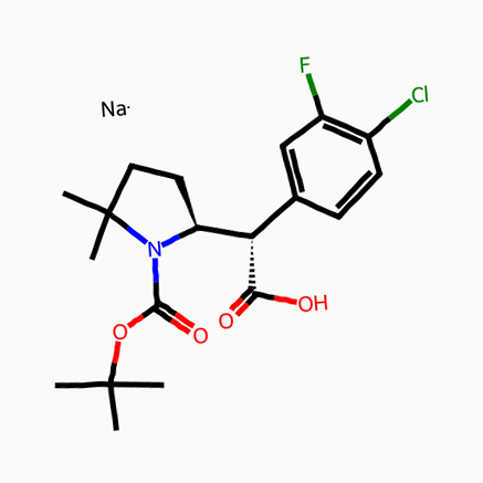 CC(C)(C)OC(=O)N1[C@H]([C@@H](C(=O)O)c2ccc(Cl)c(F)c2)CCC1(C)C.[Na]